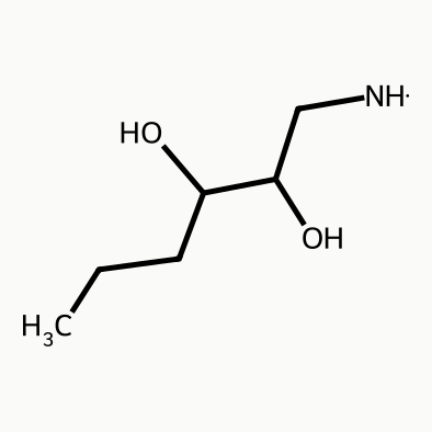 CCCC(O)C(O)C[NH]